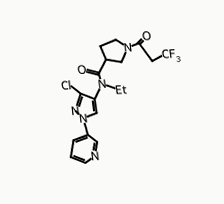 CCN(C(=O)C1CCN(C(=O)CC(F)(F)F)C1)c1cn(-c2cccnc2)nc1Cl